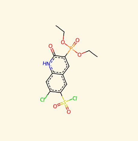 CCOP(=O)(OCC)c1cc2cc(S(=O)(=O)Cl)c(Cl)cc2[nH]c1=O